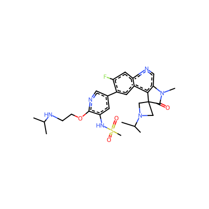 CC(C)NCCOc1ncc(-c2cc3c4c(cnc3cc2F)N(C)C(=O)C42CN(C(C)C)C2)cc1NS(C)(=O)=O